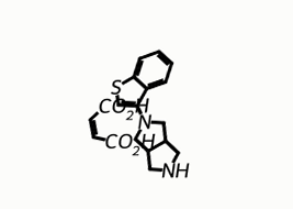 O=C(O)/C=C\C(=O)O.c1ccc2c(N3CC4CNCC4C3)csc2c1